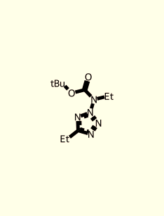 CCc1nnn(N(CC)C(=O)OC(C)(C)C)n1